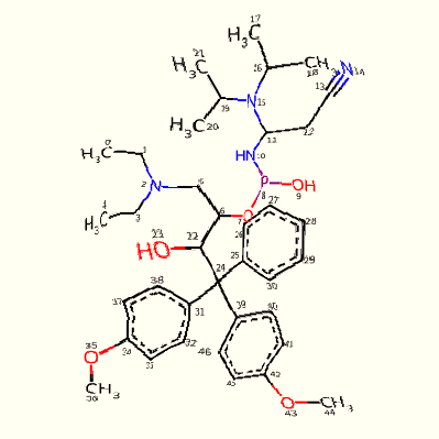 CCN(CC)CC(OP(O)NC(CC#N)N(C(C)C)C(C)C)C(O)C(c1ccccc1)(c1ccc(OC)cc1)c1ccc(OC)cc1